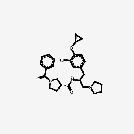 O=C(NC(Cc1ccc(OC2CC2)c(Cl)c1)CN1CCCC1)[C@@H]1CCN(C(=O)c2ccccc2)C1